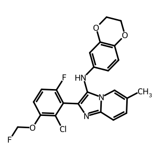 Cc1ccc2nc(-c3c(F)ccc(OCF)c3Cl)c(Nc3ccc4c(c3)OCCO4)n2c1